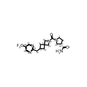 NC(=O)[C@H]1CCN(C(=O)N2CC3(CC(Cc4ncc(C(F)(F)F)cn4)C3)C2)C1